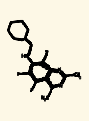 Cc1nc(N)c2c(F)c(F)c(NCC3CCCCC3)c(F)c2n1